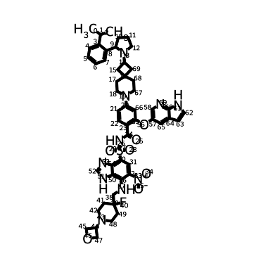 CC(C)c1ccccc1C1CCCN1C1CC2(CCN(c3ccc(C(=O)NS(=O)(=O)c4cc([N+](=O)[O-])c(NCC5(F)CCN(C6COC6)CC5)c5[nH]cnc45)c(Oc4cnc5[nH]ccc5c4)c3)CC2)C1